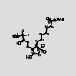 CCCCC(C)(C)C(=O)/C=C/C1C(O)CS(=O)(=O)C1CCCCCCC(=O)OC